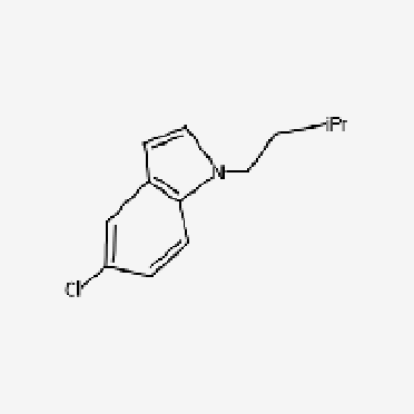 CC(C)CCn1ccc2cc(Cl)ccc21